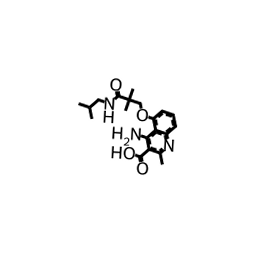 Cc1nc2cccc(OCC(C)(C)C(=O)NCC(C)C)c2c(N)c1C(=O)O